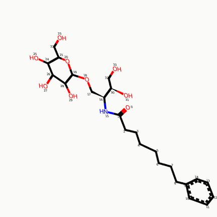 O=C(CCCCCCCc1ccccc1)N[C@@H](COC1OC(CO)C(O)C(O)C1O)[C@H](O)CO